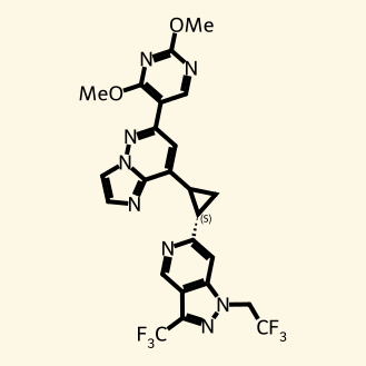 COc1ncc(-c2cc(C3C[C@@H]3c3cc4c(cn3)c(C(F)(F)F)nn4CC(F)(F)F)c3nccn3n2)c(OC)n1